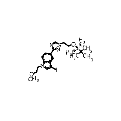 COCCn1cc(I)c2cc(-c3ncn(CCO[Si](C)(C)C(C)(C)C)n3)ccc21